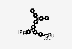 CC(C)Oc1ccc(-n2c3ccc(-c4ccc(C(CC(C)(C)C)C(C)(C)C)cc4)cc3c3cc(-c4ccc(N(c5ccc(-c6ccccc6)cc5)c5ccc(-c6ccccc6)cc5)cc4)ccc32)cc1